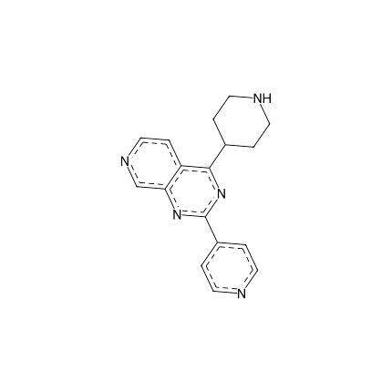 c1cc(-c2nc(C3CCNCC3)c3ccncc3n2)ccn1